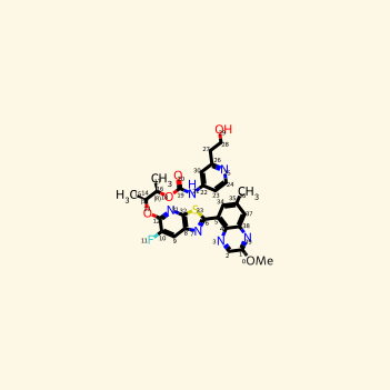 COc1cnc2c(-c3nc4cc(F)c(O[C@@H](C)[C@@H](C)OC(=O)Nc5ccnc(CCO)c5)nc4s3)cc(C)cc2n1